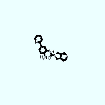 Nc1ccc(-c2ccccn2)cc1NC(=O)N1Cc2ccncc2C1